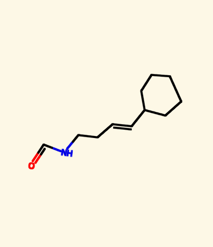 O=CNCCC=CC1CCCCC1